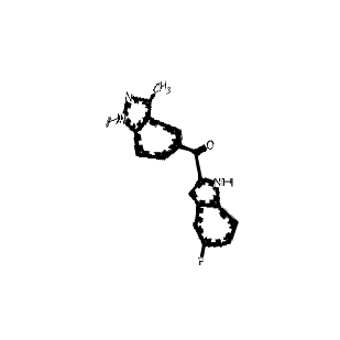 Cc1n[nH]c2ccc(C(=O)c3cc4cc(F)ccc4[nH]3)cc12